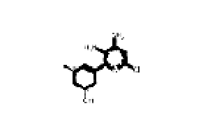 C[C@H]1C=C(c2nc(Cl)cc(N)c2N)C[C@H](O)C1